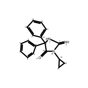 N=C1NC(c2ccccc2)(c2ccccc2)C(=O)N1C1CC1